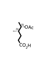 CC(=O)O[C@@H](C)[C@@H](C)CCC(=O)O